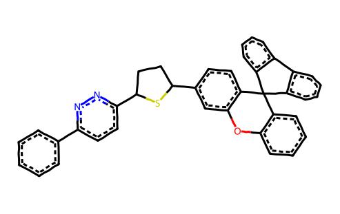 c1ccc(-c2ccc(C3CCC(c4ccc5c(c4)Oc4ccccc4C54c5ccccc5-c5ccccc54)S3)nn2)cc1